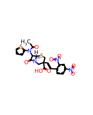 CC(=O)N(c1cccs1)C1C(=O)N2CC(C=Cc3ccc([N+](=O)[O-])cc3[N+](=O)[O-])(C(=O)O)CS[C@H]12